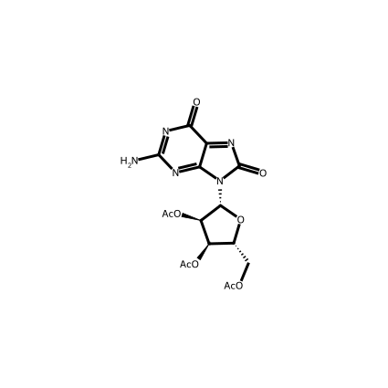 CC(=O)OC[C@H]1O[C@@H](N2C(=O)N=C3C(=O)N=C(N)N=C32)[C@H](OC(C)=O)[C@@H]1OC(C)=O